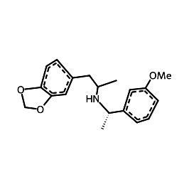 COc1cccc([C@H](C)NC(C)Cc2ccc3c(c2)OCO3)c1